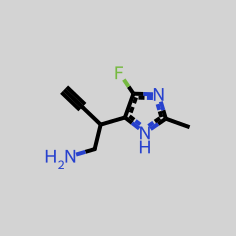 C#CC(CN)c1[nH]c(C)nc1F